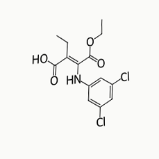 CCOC(=O)C(Nc1cc(Cl)cc(Cl)c1)=C(CC)C(=O)O